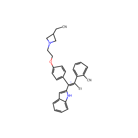 CC/C(=C(/c1ccc(OCCN2CC(CC#N)C2)cc1)c1cc2ccccc2[nH]1)c1ccccc1C#N